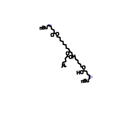 CCCC/C=C\CCC(=O)OCCCCCCCCC(CCCCCCCCOC(O)CC/C=C\CCCC)OC(O)CCCN(C)C